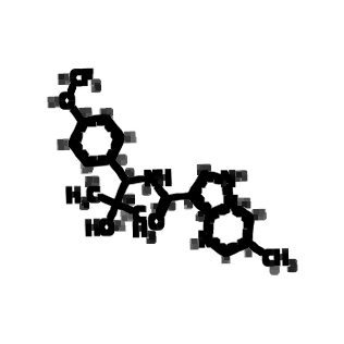 Cc1cnc2c(C(=O)NC(c3ccc(OC(F)(F)F)cc3)C(C)(C)O)cnn2c1